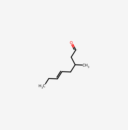 CCC=CCC(C)C[C]=O